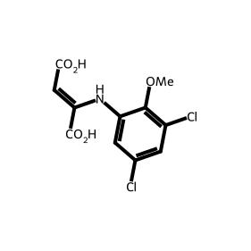 COc1c(Cl)cc(Cl)cc1N/C(=C\C(=O)O)C(=O)O